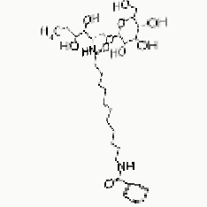 CC[C@@H](O)[C@@H](O)[C@H](CO[C@H]1OC(CO)[C@H](O)[C@H](O)C1O)NC(=O)CCCCCCCCCCCNC(=O)c1ccccc1